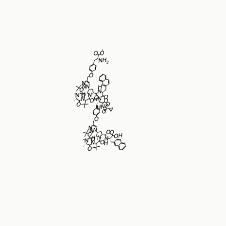 COC(=O)[C@@H](N)Cc1ccc(OCc2cn([C@@H]3C[C@@H](C(=O)N[C@@H](Cc4ccc5ccccc5c4)C(=O)N[C@@H](Cc4ccc(OCc5cn([C@@H]6C[C@@H](C(=O)N[C@@H](Cc7ccc8ccccc8c7)C(=O)O)N(C(=O)[C@@H](NC(=O)[C@H](C)N(C)C(=O)OC(C)(C)C)C(C)(C)C)C6)nn5)cc4)C(=O)NS(=O)(=O)C4CC4)N(C(=O)[C@@H](NC(=O)[C@H](C)N(C)C(=O)OC(C)(C)C)C(C)(C)C)C3)nn2)cc1